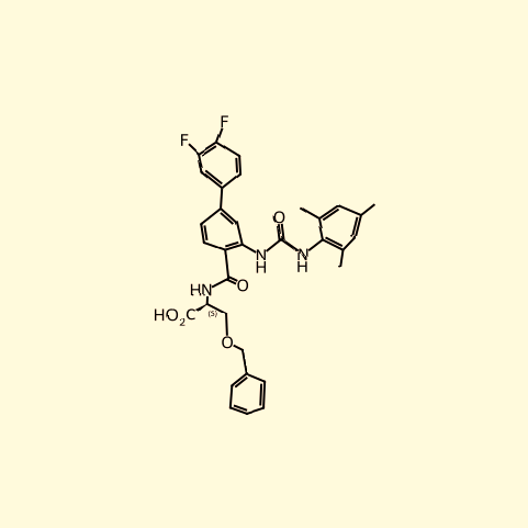 Cc1cc(C)c(NC(=O)Nc2cc(-c3ccc(F)c(F)c3)ccc2C(=O)N[C@@H](COCc2ccccc2)C(=O)O)c(C)c1